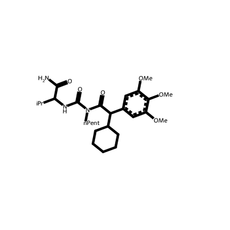 CCCCCN(C(=O)NC(C(N)=O)C(C)C)C(=O)C(c1cc(OC)c(OC)c(OC)c1)C1CCCCC1